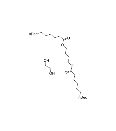 CCCCCCCCCCCCCCCC(=O)OCCCCOC(=O)CCCCCCCCCCCCCCC.OCCO